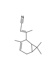 CC(=CC#N)C1C(C)=CCC2C1C2(C)C